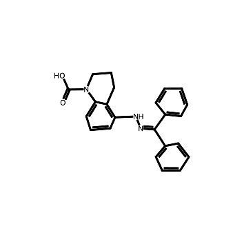 O=C(O)N1CCCc2c(NN=C(c3ccccc3)c3ccccc3)cccc21